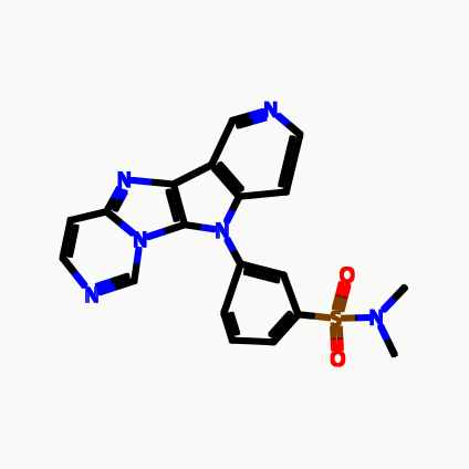 CN(C)S(=O)(=O)c1cccc(-n2c3ccncc3c3nc4ccncn4c32)c1